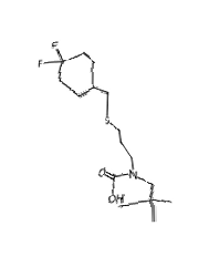 CC(C)(C)CN(CCCSCC1CCC(F)(F)CC1)C(=O)O